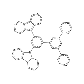 C1=CC2c3ccccc3N(c3cc(-c4cc(-c5ccccc5)cc(-c5ccccc5)c4)cc(-n4c5ccccc5c5ccccc54)c3)C2C=C1